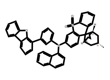 C[C@@H]1C[C@H]2CCC[C@@H](C1)C21c2ccccc2S(=O)(=O)c2cc(N(c3cccc(-c4cccc5c4oc4ccccc45)c3)c3cccc4ccccc34)ccc21